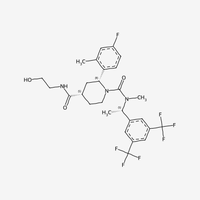 Cc1cc(F)ccc1[C@H]1C[C@@H](C(=O)NCCO)CCN1C(=O)N(C)[C@@H](C)c1cc(C(F)(F)F)cc(C(F)(F)F)c1